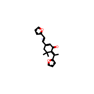 CC(=C1C(=O)C=C(/C=C/c2ccco2)CC1(C)C)c1ccco1